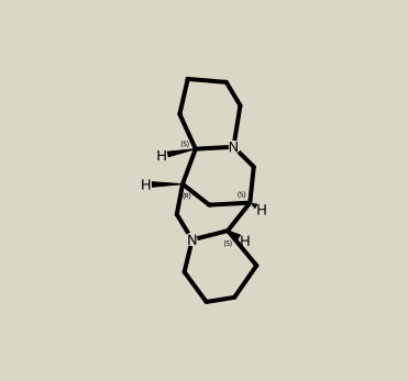 C1CCN2C[C@@H]3C[C@H](CN4CCCC[C@@H]34)[C@@H]2C1